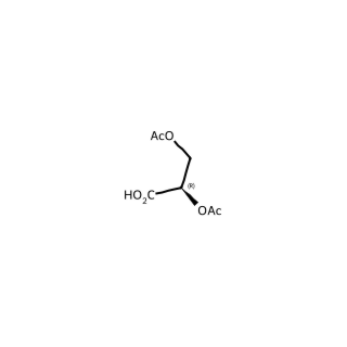 CC(=O)OC[C@@H](OC(C)=O)C(=O)O